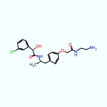 C[C@H](Cc1ccc(OCC(=O)NCCN)cc1)NC(=O)[C@H](O)c1cccc(Cl)c1